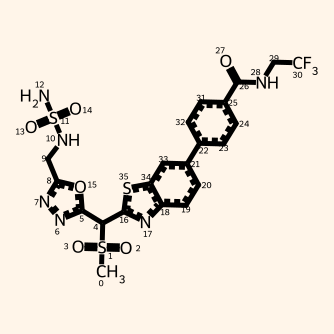 CS(=O)(=O)C(c1nnc(CNS(N)(=O)=O)o1)c1nc2ccc(-c3ccc(C(=O)NCC(F)(F)F)cc3)cc2s1